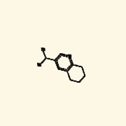 CCC(CC)c1cnc2c(c1)CCCC2